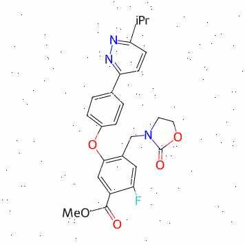 COC(=O)c1cc(Oc2ccc(-c3ccc(C(C)C)nn3)cc2)c(CN2CCOC2=O)cc1F